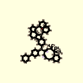 C=C1/C=C(N(c2ccc(-c3cccnc3)cc2)c2ccc3c(c2)c2ccc4ccn(-c5ccccc5)c4c2n3-c2ccccc2)\C=C/Cc2ccccc2C1(C)C